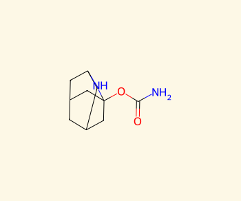 NC(=O)OC12CC3CC(CC(C3)N1)C2